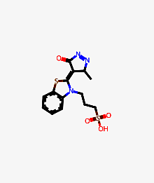 CC1N=NC(=O)C1=C1Sc2ccccc2N1CCCS(=O)(=O)O